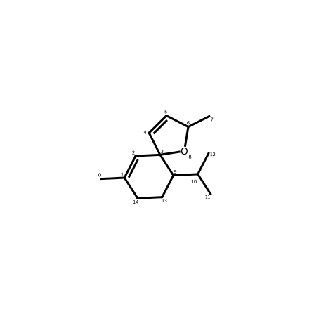 CC1=CC2(C=CC(C)O2)C(C(C)C)CC1